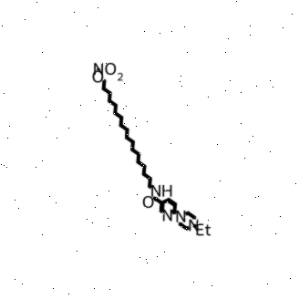 CCN1CCN(c2ccc(C(=O)NCCCCCCCCCCCCCCCCCCO[N+](=O)[O-])cn2)CC1